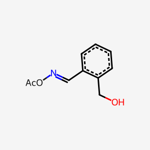 CC(=O)O/N=C/c1ccccc1CO